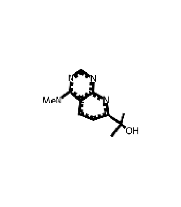 CNc1ncnc2nc(C(C)(C)O)ccc12